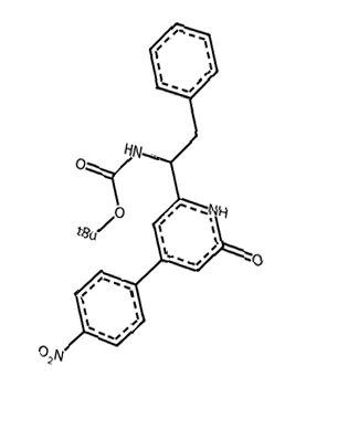 CC(C)(C)OC(=O)NC(Cc1ccccc1)c1cc(-c2ccc([N+](=O)[O-])cc2)cc(=O)[nH]1